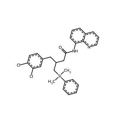 C[Si](C)(CC(CC(=O)Nc1cccc2cccnc12)Cc1ccc(Cl)c(Cl)c1)c1ccccc1